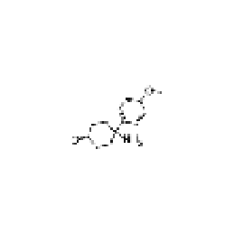 COc1ccc(C2(N)CCC(=O)CC2)cc1